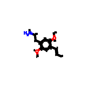 C/C=C/c1cc(OC)c(CCN)cc1OC